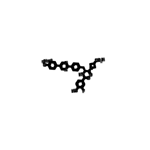 CCCCCCCOc1ccc(-c2cnc(-c3ccc(C[C@H](NC(=O)c4ccc(O)c(F)c4)C(=O)N4CC(C(=O)O)C4)cc3)nc2)cc1